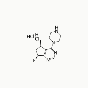 C[C@@H]1C[C@H](F)c2ncnc(N3CCNCC3)c21.Cl.Cl